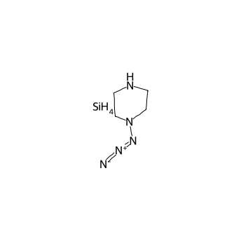 [N-]=[N+]=NN1CCNCC1.[SiH4]